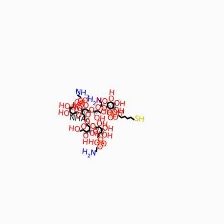 CC(=O)N[C@H]1C(O)[C@@H](O)C(CO)O[C@H]1O[C@@H]1C(CO[C@H]2OC(CO)[C@@H](O)[C@H](O)C2O[C@H]2OC(COP(=O)(O)OCCN)[C@@H](O)[C@H](O)C2O)O[C@H](O[C@@H](CO)C(CO)O[C@@H](CN)O[C@@H]2C(O)C(O)[C@@H](O)[C@H](O)C2OP(=O)(O)OCCCCCCS)C(OP(=O)(O)OCCN)[C@H]1O